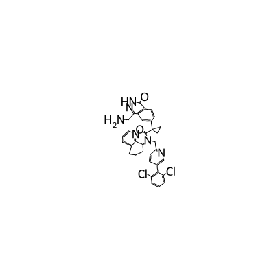 NCc1n[nH]c(=O)c2ccc(C3(C(=O)N(Cc4ccc(-c5c(Cl)cccc5Cl)cn4)[C@H]4CCCc5cccnc54)CC3)cc12